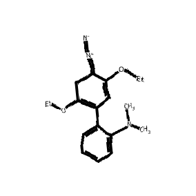 CCOC1=CC(c2ccccc2N(C)C)=C(OCC)CC1=[N+]=[N-]